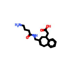 NCCCC(=O)NCC1=CCc2ccccc2C(CC(=O)O)C1